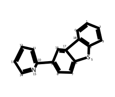 [c]1cccc2sc3ccc(-c4ccccn4)cc3c12